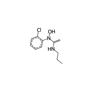 C=C(NCCC)N(O)c1ccccc1Cl